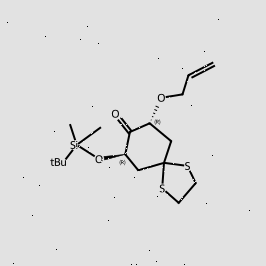 C=CCO[C@@H]1CC2(C[C@@H](O[Si](C)(C)C(C)(C)C)C1=O)SCCS2